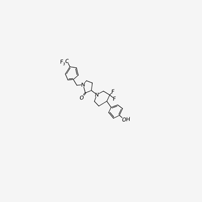 O=C1C(N2CCC(c3ccc(O)cc3)C(F)(F)C2)CCN1Cc1ccc(C(F)(F)F)cc1